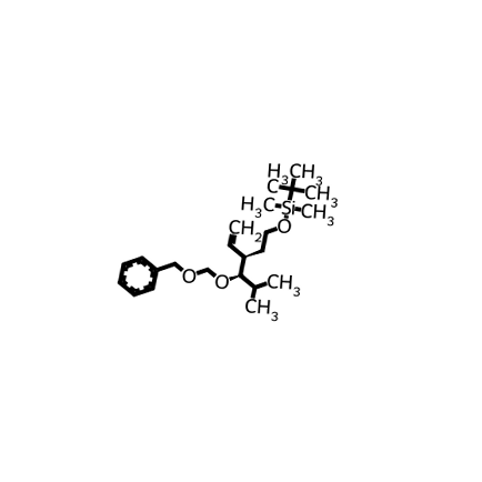 C=C[C@@H](CCO[Si](C)(C)C(C)(C)C)[C@H](OCOCc1ccccc1)C(C)C